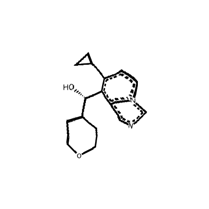 O[C@H](c1c(C2CC2)ccn2cncc12)C1CCOCC1